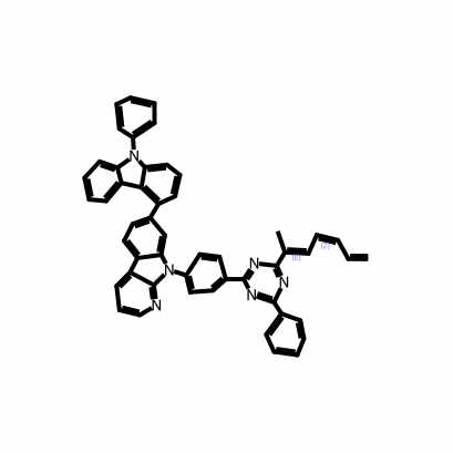 C=C/C=C\C=C(/C)c1nc(-c2ccccc2)nc(-c2ccc(-n3c4cc(-c5cccc6c5c5ccccc5n6-c5ccccc5)ccc4c4cccnc43)cc2)n1